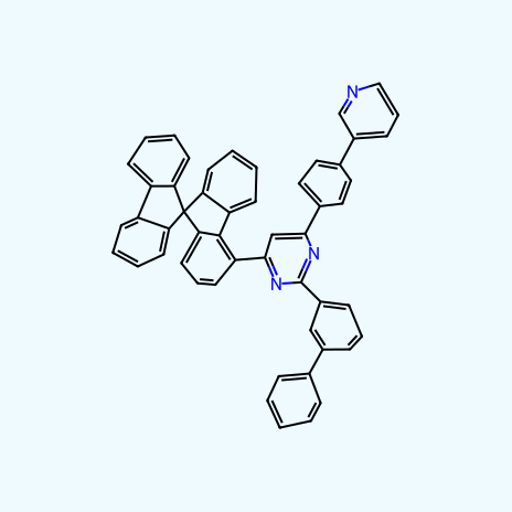 c1ccc(-c2cccc(-c3nc(-c4ccc(-c5cccnc5)cc4)cc(-c4cccc5c4-c4ccccc4C54c5ccccc5-c5ccccc54)n3)c2)cc1